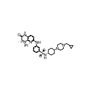 CC(C)N1c2nc(Nc3cccc(S(=O)(=O)N[C@H]4CC[C@H](N5CCN(CC6CC6)CC5)CC4)c3)ccc2N(C)C(=O)[C@H]1C